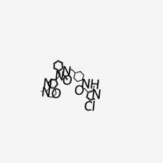 Cc1ncc(Cl)cc1C(=O)NC1CCC(Cn2c(=O)n(-c3cnc4c(c3)OCCN4C)c3ccccc32)CC1